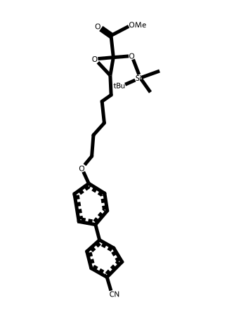 COC(=O)C1(O[Si](C)(C)C(C)(C)C)OC1CCCCCOc1ccc(-c2ccc(C#N)cc2)cc1